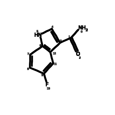 NC(=O)c1c[nH]c2ccc(F)cc12